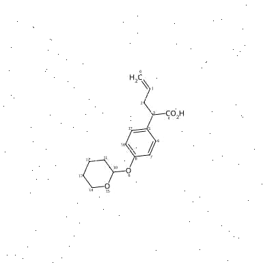 C=CCC(C(=O)O)c1ccc(OC2CCCCO2)cc1